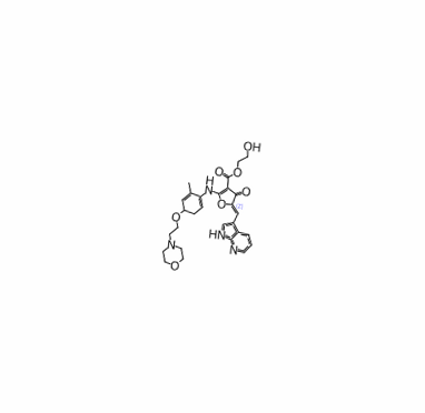 CC1=CC(OCCN2CCOCC2)CC=C1NC1=C(C(=O)OCCO)C(=O)/C(=C/c2c[nH]c3ncccc23)O1